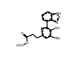 CCCCCCCCOC(=O)CCc1cc(-c2cccc3[nH]nnc23)c(O)c(C(C)(C)C)c1